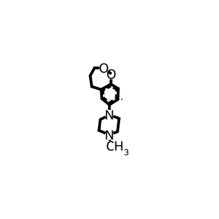 CN1CCN(c2[c]cc3c(c2)CCCOO3)CC1